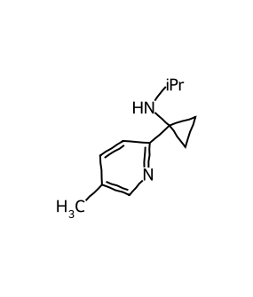 Cc1ccc(C2(NC(C)C)CC2)nc1